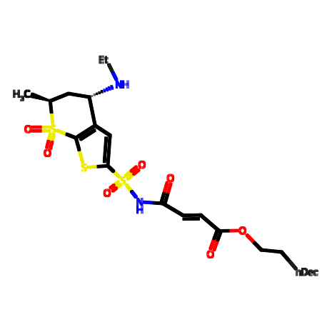 CCCCCCCCCCCCOC(=O)/C=C/C(=O)NS(=O)(=O)c1cc2c(s1)S(=O)(=O)[C@@H](C)C[C@@H]2NCC